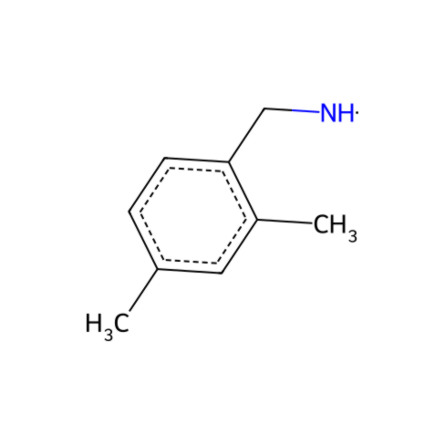 Cc1ccc(C[NH])c(C)c1